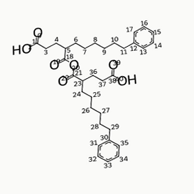 O=C(O)CCC(CCCCCCc1ccccc1)C(=O)OC(=O)C(CCCCCCc1ccccc1)CCC(=O)O